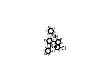 Clc1cccc2c(-c3c(Nc4ccccc4)cccc3Nc3ccccc3)cccc12